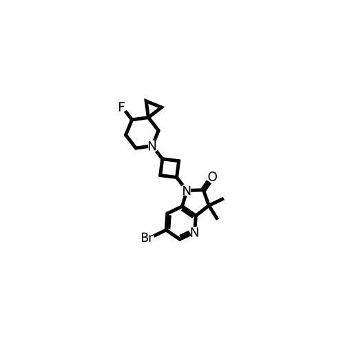 CC1(C)C(=O)N(C2CC(N3CCC(F)C4(CC4)C3)C2)c2cc(Br)cnc21